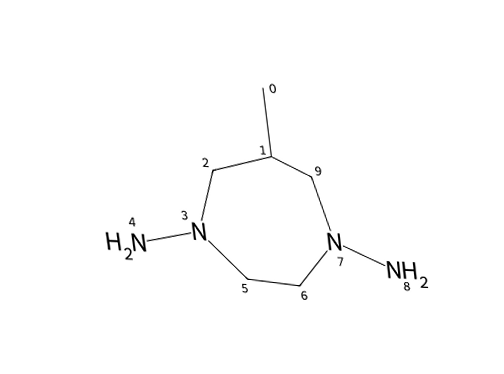 CC1CN(N)CCN(N)C1